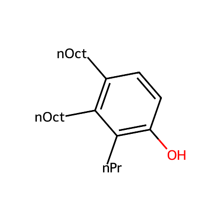 CCCCCCCCc1ccc(O)c(CCC)c1CCCCCCCC